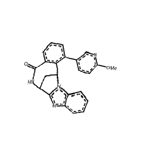 COc1ccc(-c2cccc3c2C2CC(NC3=O)c3nc4ccccc4n32)cn1